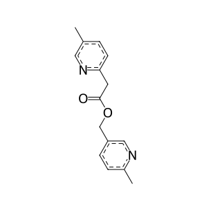 Cc1ccc(CC(=O)OCc2ccc(C)nc2)nc1